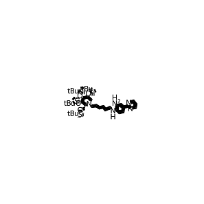 CC(C)(C)[Si](C)(C)OC[C@@H]1C(O[Si](C)(C)C(C)(C)C)C(O[Si](C)(C)C(C)(C)C)C(O[Si](C)(C)C(C)(C)C)CN1CCCCCCNc1ccc(-c2ncccn2)cc1N